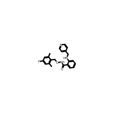 Cc1cc(F)cc(C)c1CONC(=O)c1ccccc1NCc1ccncc1